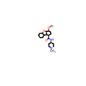 CC(C)Oc1ccc(C(=O)Nc2cc[n+](C)cc2)c2c1oc1ccccc12